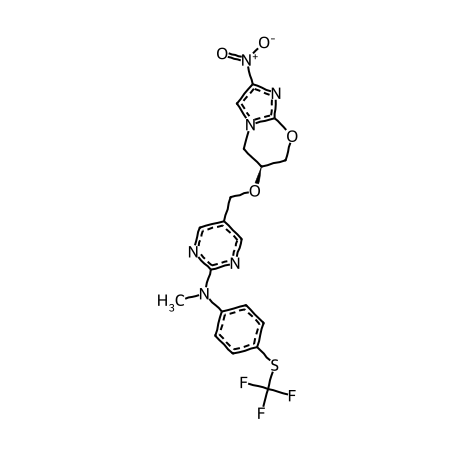 CN(c1ccc(SC(F)(F)F)cc1)c1ncc(CO[C@@H]2COc3nc([N+](=O)[O-])cn3C2)cn1